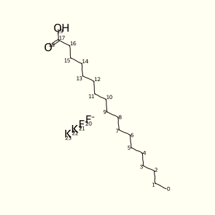 CCCCCCCCCCCCCCCCCC(=O)O.[F-].[F-].[K+].[K+]